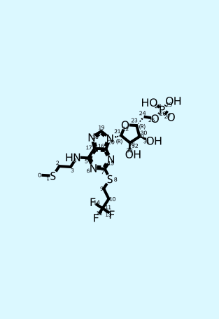 CSCCNc1nc(SCCC(F)(F)F)nc2c1ncn2[C@@H]1O[C@H](COP(=O)(O)O)[C@@H](O)[C@H]1O